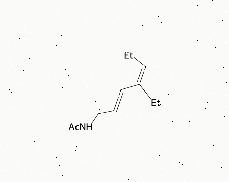 CCC=C(C=CCNC(C)=O)CC